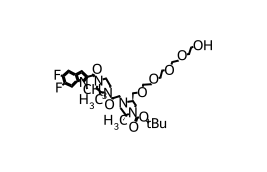 C[C@@H]1CN(C(=O)c2cc3cc(F)c(F)cc3n2C)CCN1C(=O)CN1C[C@@H](C)N(C(=O)OC(C)(C)C)C[C@@H]1COCCOCCOCCOCCO